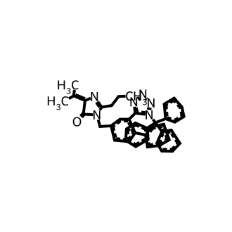 CCCC1=NC(=C(C)C)C(=O)N1Cc1ccc(-c2ccccc2)c(-c2nnnn2C(c2ccccc2)(c2ccccc2)c2ccccc2)c1